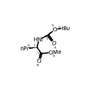 CCC[C@@H](NC(=O)OC(C)(C)C)C(=O)OC